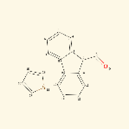 O=CC1c2ccccc2-c2ccccc21.c1ccsc1